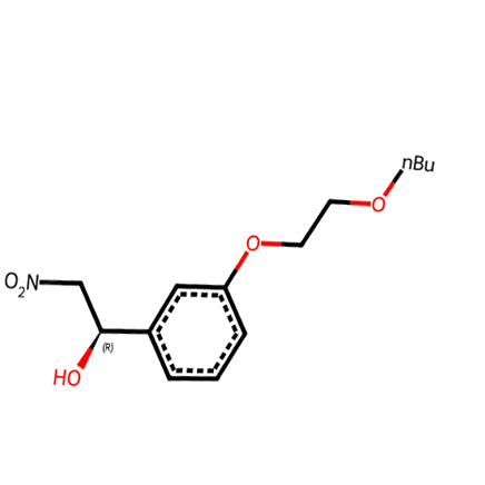 CCCCOCCOc1cccc([C@@H](O)C[N+](=O)[O-])c1